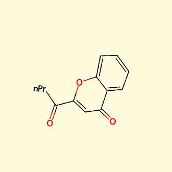 CCCC(=O)c1cc(=O)c2ccccc2o1